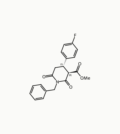 COC(=O)[C@H]1C(=O)N(Cc2ccccc2)C(=O)C[C@@H]1c1ccc(F)cc1